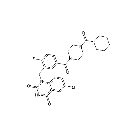 O=C(c1ccc(F)c(Cn2c(=O)[nH]c(=O)c3cc(Cl)ccc32)c1)N1CCN(C(=O)C2CCCCC2)CC1